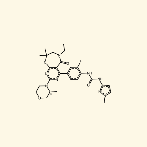 CCN1CC(C)(C)Oc2nc(N3CCOC[C@@H]3C)nc(-c3ccc(NC(=O)Nc4ccn(C)n4)c(F)c3)c2C1=O